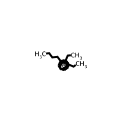 CCCC[C]12[CH]3[CH]4[C]5(CC)[C]1(CC)[Fe]43521678[CH]2[CH]1[CH]6[CH]7[CH]28